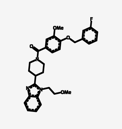 COCCn1c(C2CCN(C(=O)c3ccc(OCc4cccc(F)c4)c(OC)c3)CC2)nc2ccccc21